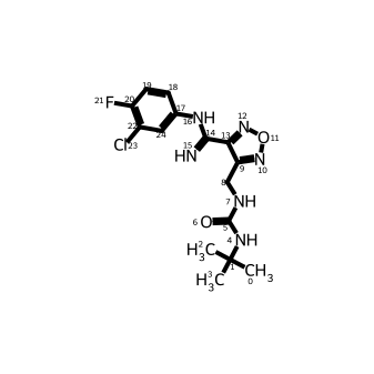 CC(C)(C)NC(=O)NCc1nonc1C(=N)Nc1ccc(F)c(Cl)c1